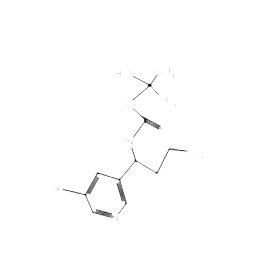 CCCC(NC(=O)OC(C)(C)C)c1cncc(Br)c1